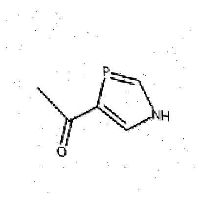 CC(=O)c1c[nH]cp1